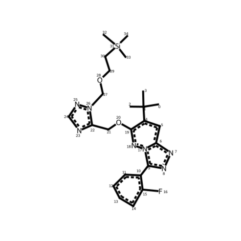 CC(C)(C)c1cc2nnc(-c3ccccc3F)n2nc1OCc1ncnn1COCC[Si](C)(C)C